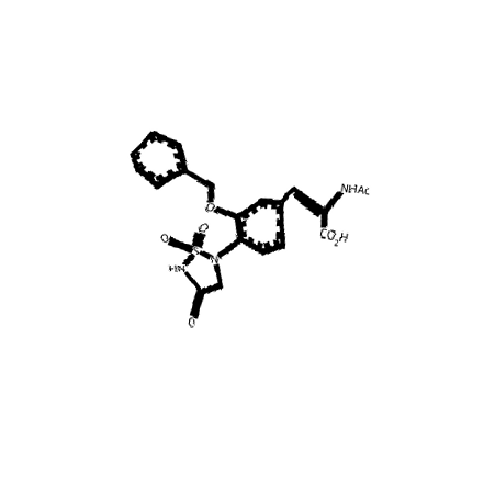 CC(=O)NC(=Cc1ccc(N2CC(=O)NS2(=O)=O)c(OCc2ccccc2)c1)C(=O)O